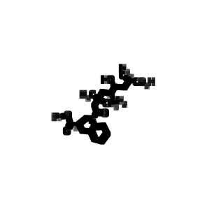 CC(C)OC(=O)[C@@H]1Cc2ccccc2N(C(=O)CC(C)(C)C[C@H](N)[C@@H](O)C[C@@H](C)C(=O)O)C1